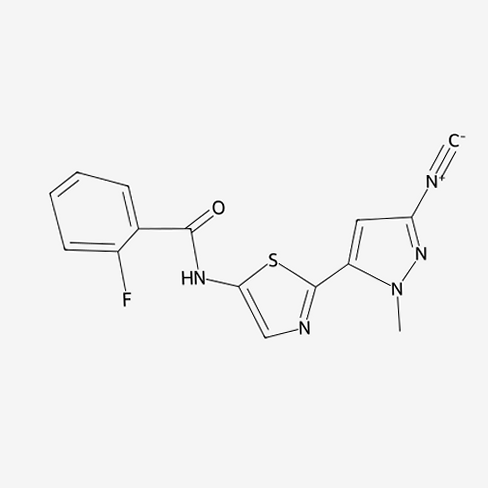 [C-]#[N+]c1cc(-c2ncc(NC(=O)c3ccccc3F)s2)n(C)n1